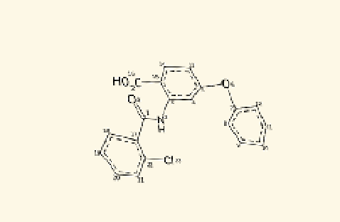 O=C(Nc1cc(Oc2ccccc2)ccc1C(=O)O)c1ccccc1Cl